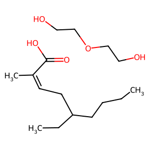 CCCCC(CC)CC=C(C)C(=O)O.OCCOCCO